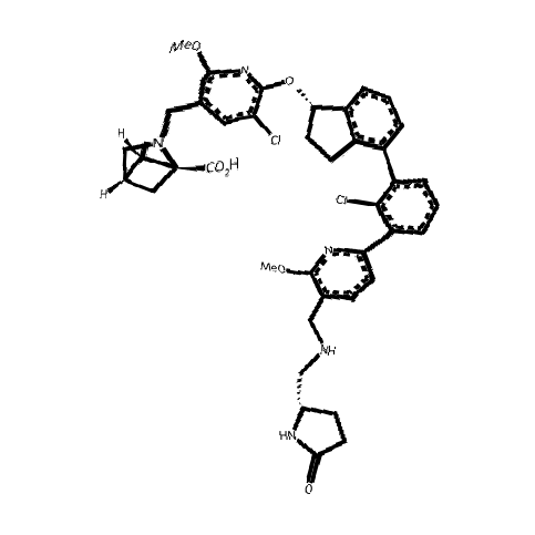 COc1nc(-c2cccc(-c3cccc4c3CC[C@@H]4Oc3nc(OC)c(CN4C[C@H]5C[C@]4(C(=O)O)[C@H]5C)cc3Cl)c2Cl)ccc1CNC[C@@H]1CCC(=O)N1